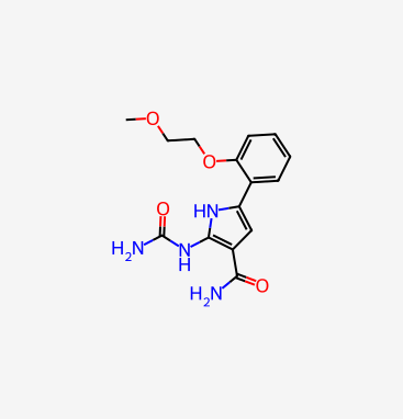 COCCOc1ccccc1-c1cc(C(N)=O)c(NC(N)=O)[nH]1